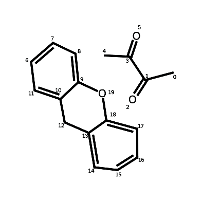 CC(=O)C(C)=O.c1ccc2c(c1)Cc1ccccc1O2